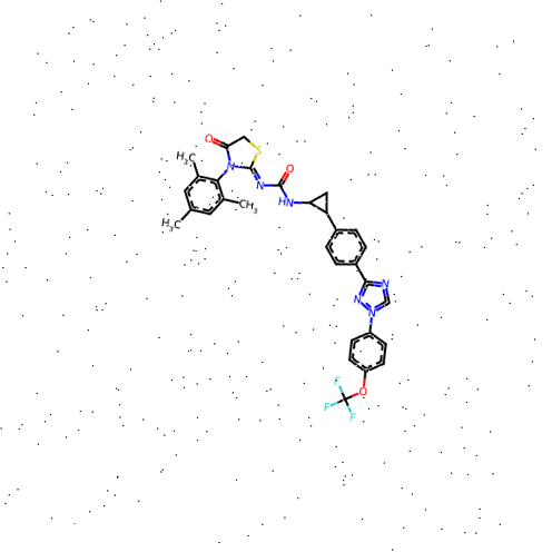 Cc1cc(C)c(N2C(=O)CS/C2=N\C(=O)NC2CC2c2ccc(-c3ncn(-c4ccc(OC(F)(F)F)cc4)n3)cc2)c(C)c1